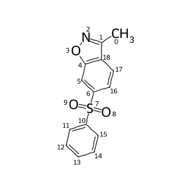 Cc1noc2cc(S(=O)(=O)c3ccccc3)ccc12